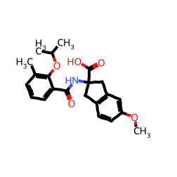 COc1ccc2c(c1)CC(NC(=O)c1cccc(C)c1OC(C)C)(C(=O)O)C2